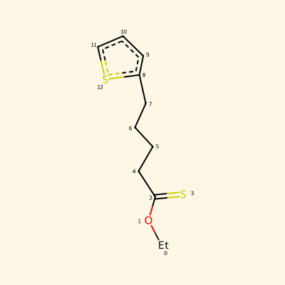 CCOC(=S)CCCCc1cccs1